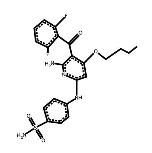 CCCCOc1cc(Nc2ccc(S(N)(=O)=O)cc2)nc(N)c1C(=O)c1c(F)cccc1F